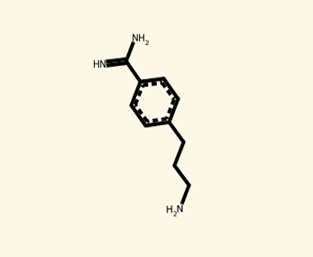 N=C(N)c1ccc(CCCN)cc1